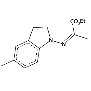 CCOC(=O)/C(C)=N\N1CCc2cc(C)ccc21